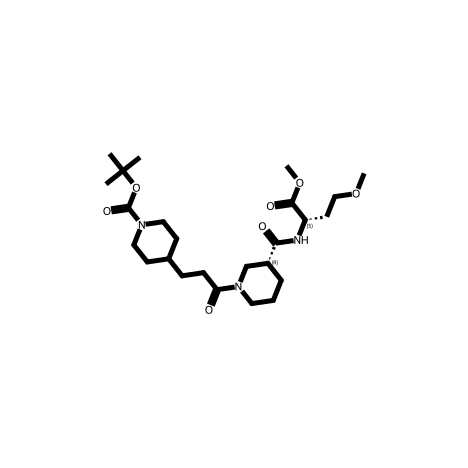 COCC[C@H](NC(=O)[C@@H]1CCCN(C(=O)CCC2CCN(C(=O)OC(C)(C)C)CC2)C1)C(=O)OC